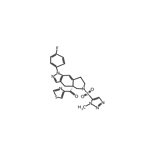 Cn1nncc1S(=O)(=O)N1CCC2=Cc3c(cnn3-c3ccc(F)cc3)C[C@]2(C(=O)c2cscn2)C1